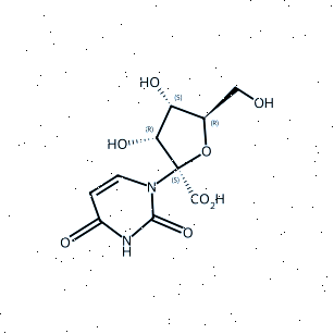 O=C(O)[C@@]1(n2ccc(=O)[nH]c2=O)O[C@H](CO)[C@@H](O)[C@H]1O